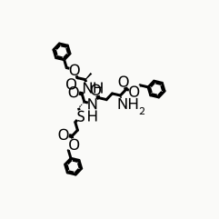 C[C@@H](NC(=O)[C@@H](CSCCC(=O)OCc1ccccc1)NC(=O)CC[C@@H](N)C(=O)OCc1ccccc1)C(=O)OCc1ccccc1